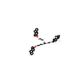 C[C@@H]1C[C@H]2[C@@H]([C@H](O)C[C@]3(C)[C@@H]2CC[C@@]3(O)C(=O)COC(=O)CCCOCC(COC(=O)CCC(=O)OCC(=O)[C@@]2(O)CC[C@H]3[C@@H]4C[C@H](C)C5=CC(=O)C=C[C@]5(C)[C@H]4[C@@H](C)C[C@@]32C)COC(=O)CCC(=O)OCC(=O)[C@@]2(O)CC[C@H]3[C@@H]4C[C@H](C)C5=CC(=O)C=C[C@]5(C)[C@H]4[C@@H](O)C[C@@]32C)[C@]2(C)C=CC(=O)C=C12